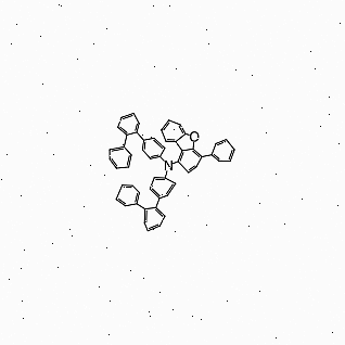 c1ccc(-c2ccccc2-c2ccc(N(c3ccc(-c4ccccc4-c4ccccc4)cc3)c3ccc(-c4ccccc4)c4oc5ccccc5c34)cc2)cc1